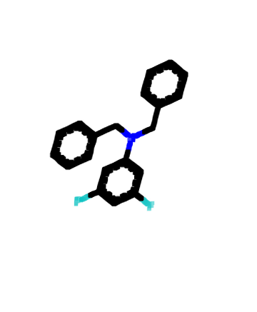 Fc1cc(F)cc(N(Cc2ccccc2)Cc2ccccc2)c1